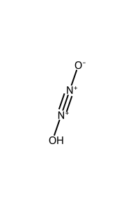 [O-][N+]#[N+]O